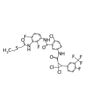 CCSCC(=O)Nc1c(F)ccc(NC(=O)c2cc(NC(=O)[C@H]3C(c4ccc(F)c(C(F)(F)F)c4)C3(Cl)Cl)ccc2Cl)c1F